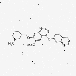 COc1cc2c(Oc3ccc4cccnc4c3)ncnc2cc1OC[C@H]1CCCN(C)C1